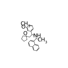 COc1cccc2c1OC1(CCCC1)C[C@@H]2NC(C)c1cccc2ccccc12